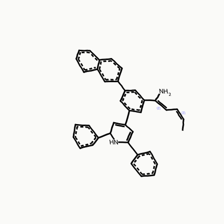 C/C=C\C=C(/N)c1cc(C2=CC(c3ccccc3)NC(c3ccccc3)=C2)cc(-c2ccc3ccccc3c2)c1